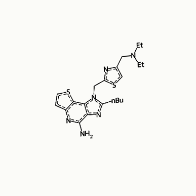 CCCCc1nc2c(N)nc3ccsc3c2n1Cc1nc(CN(CC)CC)cs1